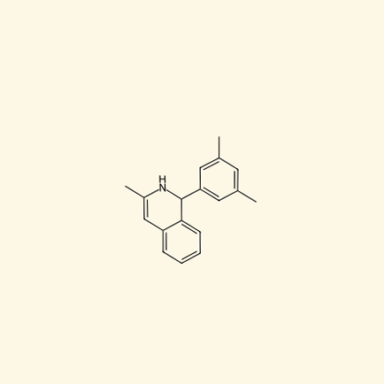 CC1=Cc2ccccc2C(c2cc(C)cc(C)c2)N1